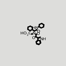 O=C(O)CN(C(=O)C(=O)c1c[nH]c2ccccc12)C(C(=O)NC1CCCCC1)C1CCCCC1